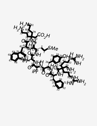 CSCC[C@H](NC(=O)[C@@H](NC(=O)[C@@H](NC(=O)[C@H](Cc1ccc(O)cc1)NC(=O)[C@H](Cc1ccccc1)NC(=O)C(CN)(CCCNC(=N)N)CCCNC(=N)N)C(C)C)C(C)C)C(=O)N[C@@H](Cc1c[nH]c2ccccc12)C(=O)NC(CCCN)(CCCN)CC(=O)O